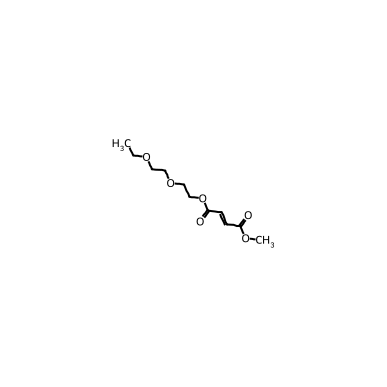 CCOCCOCCOC(=O)/C=C/C(=O)OC